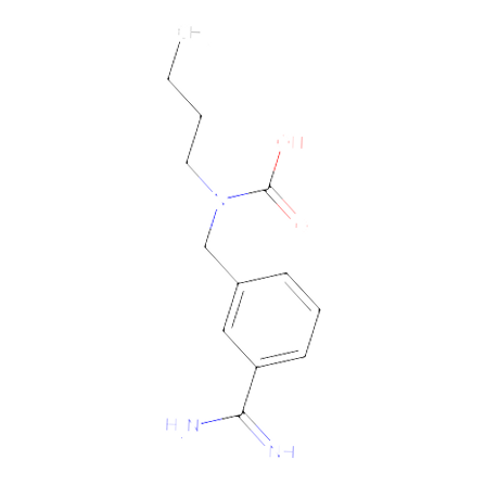 CCCCN(Cc1cccc(C(=N)N)c1)C(=O)O